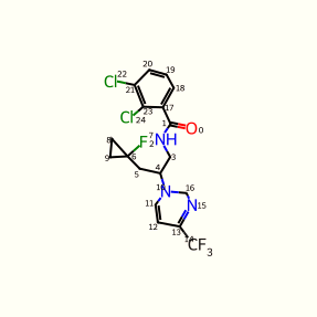 O=C(NCC(CC1(F)CC1)N1C=CC(C(F)(F)F)=NC1)c1cccc(Cl)c1Cl